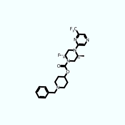 C[C@H]1CN(C(=O)OC2CCN(Cc3ccccc3)CC2)[C@H](F)CN1c1cncc(C(F)(F)F)n1